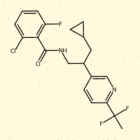 CC(F)(F)c1ccc(C(CNC(=O)c2c(F)cccc2Cl)CC2CC2)cn1